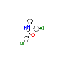 O=C(c1ccc(Cl)cc1)c1cnn(-c2ccccc2)c1-c1ccc(Cl)cc1